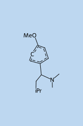 COc1ccc(C(CC(C)C)N(C)C)cc1